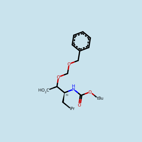 CC(C)C[C@H](NC(=O)OC(C)(C)C)C(OCOCc1ccccc1)C(=O)O